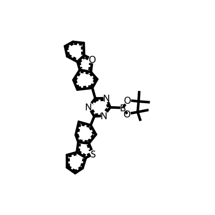 CC1(C)OB(c2nc(-c3ccc4c(c3)oc3ccccc34)nc(-c3ccc4c(c3)sc3ccccc34)n2)OC1(C)C